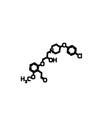 COc1cccc(OCC(O)CN2CCC(Oc3ccc(Cl)cc3)CC2)c1CC=O